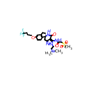 CN(C)CCn1nc2c(c1NC(=O)CS(C)(=O)=O)C(=O)N[C@@]1(CCc3cc(OCCCC(F)(F)F)ccc31)C2